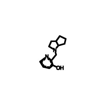 Oc1cccnc1CN1CCC2CCCC21